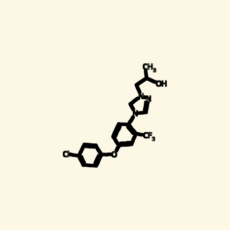 CC(O)CN1CN(c2ccc(Oc3ccc(Cl)cc3)cc2C(F)(F)F)C=N1